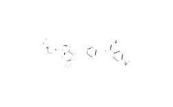 CCN(CC)c1ccc2c(COc3ccc(COc4nc(N)nc5c4ncn5[C@H]4C[C@H](O)[C@@H](CO)O4)cc3)cc(=O)oc2c1